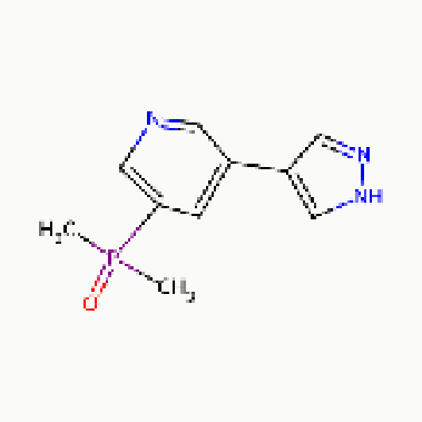 CP(C)(=O)c1cncc(-c2cn[nH]c2)c1